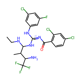 CCNC(N/C(=N\C(=O)c1ccc(Cl)cc1Cl)Nc1cc(F)cc(Cl)c1)C(C)C(N)C(F)(F)F